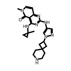 Cn1ccc2nc(Nc3cnn(C4CC5(CCNCC5)C4)c3)nc(NC3(C)CC3)c2c1=O